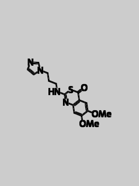 COc1cc2nc(NCCCn3ccnc3)sc(=O)c2cc1OC